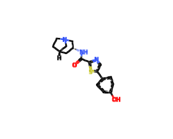 O=C(N[C@@H]1C[C@@H]2CCN(C2)C1)c1ncc(-c2ccc(O)cc2)s1